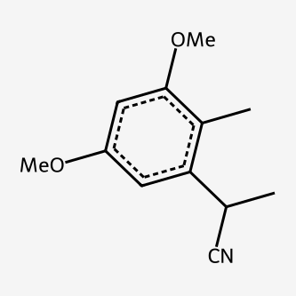 COc1cc(OC)c(C)c(C(C)C#N)c1